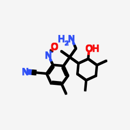 Cc1cc(C#N)c(N=O)c(C(C)(CN)C2CC(C)CC(C)C2O)c1